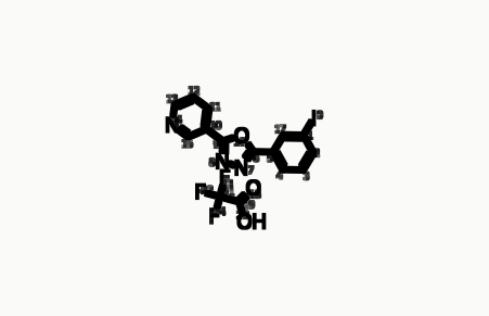 Ic1cccc(-c2nnc(-c3cccnc3)o2)c1.O=C(O)C(F)(F)F